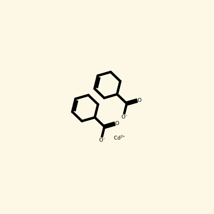 O=C([O-])C1CC=CCC1.O=C([O-])C1CC=CCC1.[Cd+2]